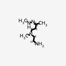 CN/N=C(/C)CCN(C)CCN